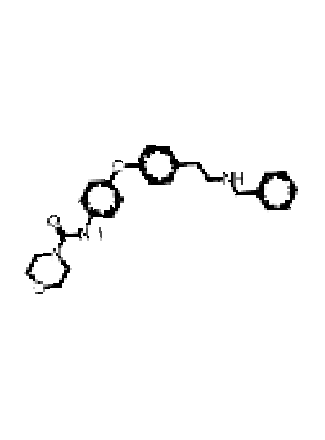 O=C(Nc1ccc(Oc2ccc(CCNCc3ccccc3)cc2)cc1)N1CCOCC1